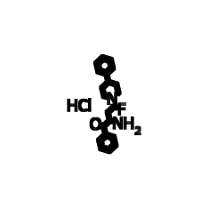 Cl.NC(CC(F)N1CCC(c2ccccc2)CC1)C(=O)c1ccccc1